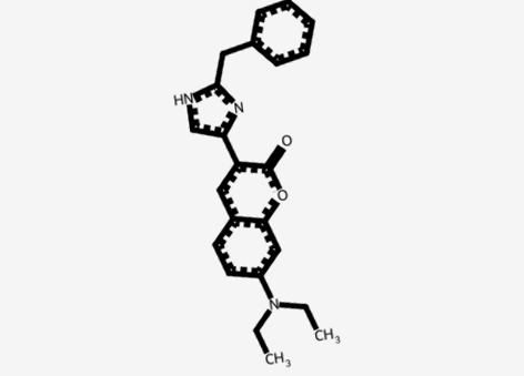 CCN(CC)c1ccc2cc(-c3c[nH]c(Cc4ccccc4)n3)c(=O)oc2c1